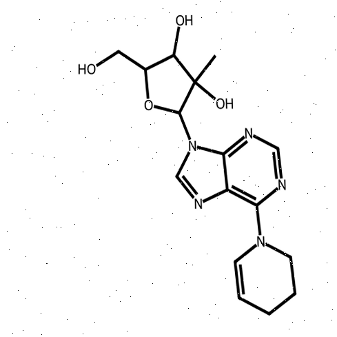 CC1(O)C(O)C(CO)OC1n1cnc2c(N3C=CCCC3)ncnc21